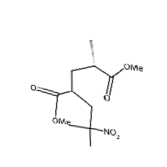 COC(=O)C(C[C@H](C)C(=O)OC)CC(C)(C)[N+](=O)[O-]